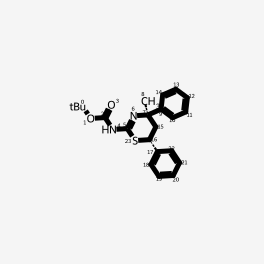 CC(C)(C)OC(=O)NC1=N[C@@](C)(c2ccccc2)C[C@H](c2ccccc2)S1